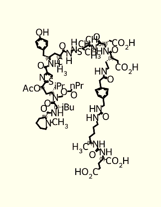 CCCC(=O)OCN(C(=O)[C@@H](NC(=O)[C@H]1CCCCN1C)C(C)CC)[C@H](C[C@@H](OC(C)=O)c1nc(C(=O)N[C@@H](Cc2ccc(O)cc2)C[C@H](C)C(=O)NNSC(C)(C)[C@@H](C)NC(=O)[C@H](CC(=O)O)NC(=O)[C@@H](CCNC(=O)Cc2ccc(CNC(=O)NCCCC[C@@H](C)NC(=O)N[C@@H](CCC(=O)O)C(=O)O)cc2)CC(=O)O)cs1)C(C)C